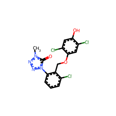 Cn1nnn(-c2cccc(Cl)c2COc2cc(Cl)c(O)cc2Cl)c1=O